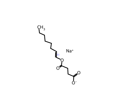 CCCCCC/C=C/OC(=O)CCC(=O)[O-].[Na+]